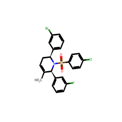 O=C(O)C1=CC[C@@H](c2cccc(Br)c2)N(S(=O)(=O)c2ccc(Cl)cc2)[C@H]1c1cccc(F)c1